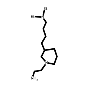 CCN(CC)CCCCC1CCCN(CCN)C1